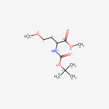 COCCC(NC(=O)OC(C)(C)C)C(=O)OC